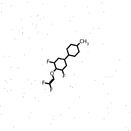 CC1CCC(C2CC(F)C(OC=C(F)F)C(F)C2)CC1